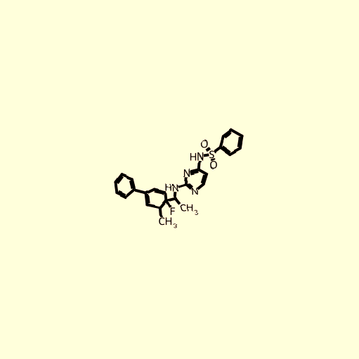 CC1C=C(c2ccccc2)C=CC1(F)C(C)Nc1nccc(NS(=O)(=O)c2ccccc2)n1